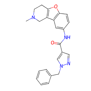 CN1CCc2oc3ccc(NC(=O)c4cnn(Cc5ccccc5)c4)cc3c2C1